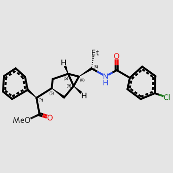 CC[C@H](NC(=O)c1ccc(Cl)cc1)[C@H]1[C@@H]2C[C@@H]([C@@H](C(=O)OC)c3ccccc3)C[C@@H]21